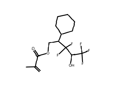 C=C(C)C(=O)OCC(C1CCCCC1)C(F)(F)C(O)C(F)(F)F